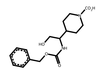 O=C(NC(CO)C1CCN(C(=O)O)CC1)OCc1ccccc1